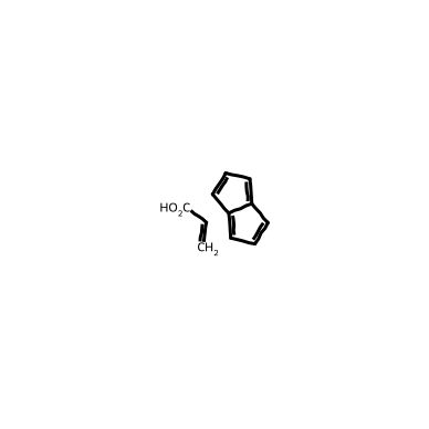 C1=CC2=CC=CC2=C1.C=CC(=O)O